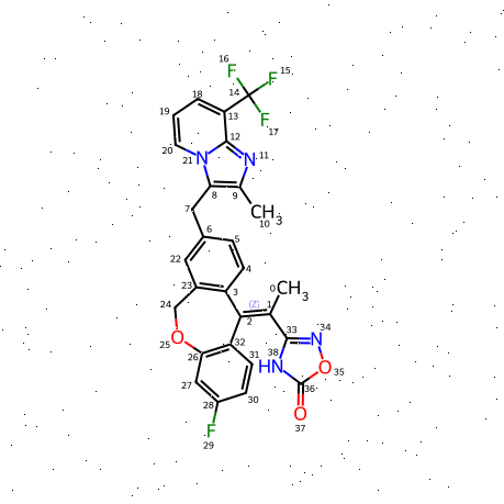 C/C(=C1\c2ccc(Cc3c(C)nc4c(C(F)(F)F)cccn34)cc2COc2cc(F)ccc21)c1noc(=O)[nH]1